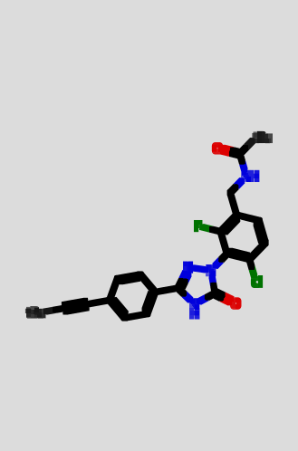 CC(C)(C)C#Cc1ccc(-c2nn(-c3c(Cl)ccc(CNC(=O)C(C)(C)C)c3F)c(=O)[nH]2)cc1